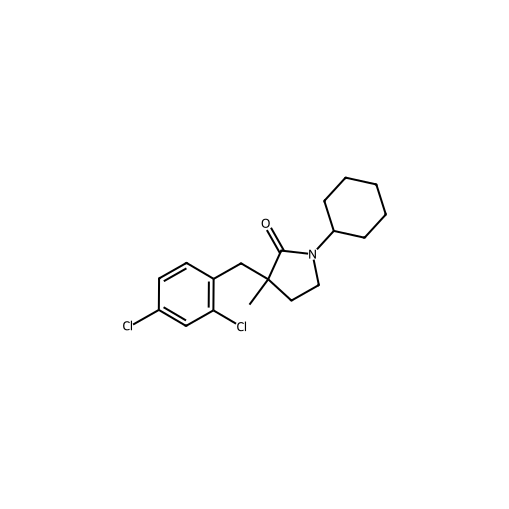 CC1(Cc2ccc(Cl)cc2Cl)CCN(C2CCCCC2)C1=O